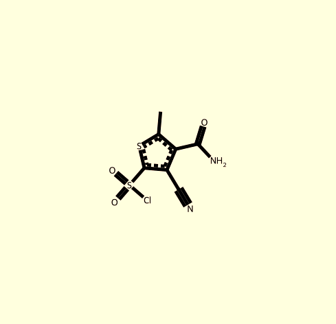 Cc1sc(S(=O)(=O)Cl)c(C#N)c1C(N)=O